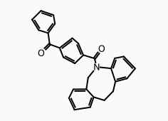 O=C(c1ccccc1)c1ccc(C(=O)N2Cc3ccccc3CCc3ccccc32)cc1